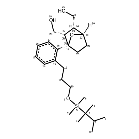 CC(C)C(C)(C)[Si](C)(C)OCCCc1ccccc1[C@@]12CC[C@@H](O1)[C@@H](CO)[C@H]2CO